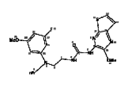 CCCN(CCNC(=O)Nc1nc2sccc2nc1OC)c1cc(F)cc(OC)c1